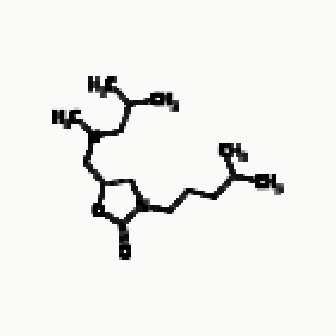 CC(C)CCCN1CC(CN(C)CC(C)C)OC1=O